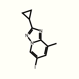 Cc1cc(I)cn2nc(C3CC3)nc12